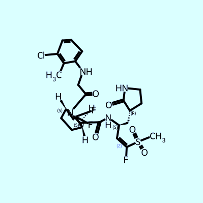 Cc1c(Cl)cccc1NCC(=O)N1[C@H]2CC[C@@H]([C@@H]1C(=O)N[C@H](/C=C(/F)S(C)(=O)=O)C[C@H]1CCNC1=O)C(F)(F)C2